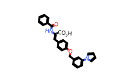 O=C(O)/C(=C\c1ccc(OCc2cccc(-n3cccc3)c2)cc1)NC(=O)c1ccccc1